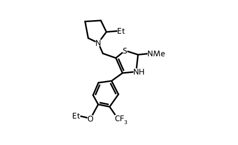 CCOc1ccc(C2=C(CN3CCCC3CC)SC(NC)N2)cc1C(F)(F)F